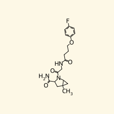 CC12CC(C(N)=O)N(C(=O)CNC(=O)CCCOc3ccc(F)cc3)C1C2